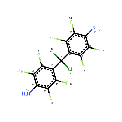 Nc1c(F)c(F)c(C(Cl)(Cl)c2c(F)c(F)c(N)c(F)c2F)c(F)c1F